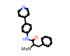 CNC(Cc1ccccc1)C(=O)Nc1ccc(-c2ccncc2)cc1